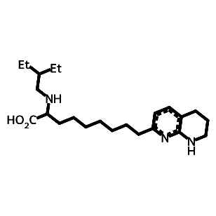 CCC(CC)CNC(CCCCCCCc1ccc2c(n1)NCCC2)C(=O)O